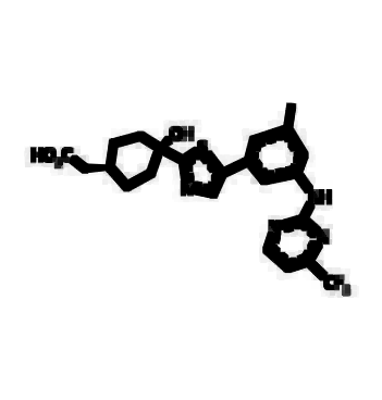 Cc1cc(Nc2nccc(C(F)(F)F)n2)cc(-c2cnc([C@]3(O)CC[C@@H](CC(=O)O)CC3)s2)c1